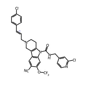 N#Cc1cc2c3c(n(C(=O)NCc4ccnc(Cl)c4)c2cc1OC(F)(F)F)CCN(C/C=C/c1ccc(Cl)cc1)C3